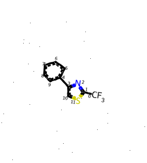 FC(F)(F)c1nc(-c2cc[c]cc2)cs1